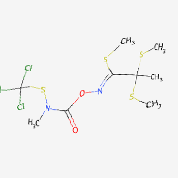 CS/C(=N\OC(=O)N(C)SC(Cl)(Cl)Cl)C(C)(SC)SC